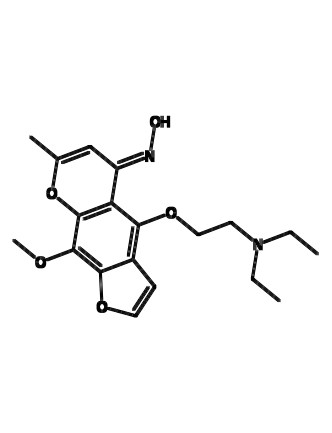 CCN(CC)CCOc1c2ccoc2c(OC)c2oc(C)cc(=NO)c12